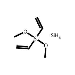 C=C[Si](C=C)(OC)OC.[SiH4]